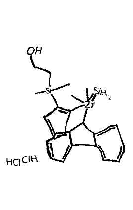 C[Si](C)(CCO)C1=[C]([Zr]([CH3])([CH3])(=[SiH2])[CH]2c3ccccc3-c3ccccc32)CC=C1.Cl.Cl